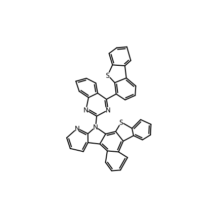 c1ccc2c(-c3cccc4c3sc3ccccc34)nc(-n3c4ncccc4c4c5ccccc5c5c6ccccc6sc5c43)nc2c1